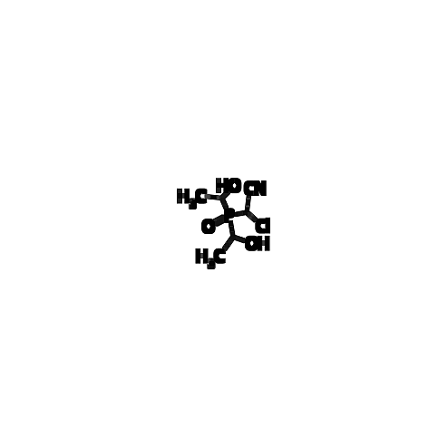 CC(O)P(=O)(C(C)O)C(Cl)C#N